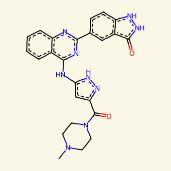 CN1CCN(C(=O)c2cc(Nc3nc(-c4ccc5[nH][nH]c(=O)c5c4)nc4ccccc34)[nH]n2)CC1